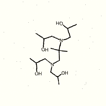 CC(O)CN(CC(C)O)CC(C)(C)N(CC(C)O)CC(C)O